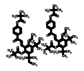 CCOc1c(C(C)(C)C)cc(C(C)(C)C)c(OC(=O)C(C)(C)C)c1/C=C/C(=O)c1ccc(OC(=O)C(C)(C)C)cc1.CCOc1c(C(C)(C)CC)cc(C(C)(C)CC)c(OC(=O)C(C)(C)C)c1/C=C/C(=O)c1ccc(OC(=O)C(C)(C)C)cc1